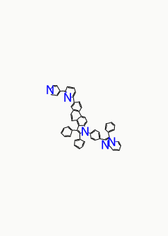 c1ccc(-c2c(-c3ccccc3)n(-c3ccc(-c4nc5ccccn5c4-c4ccccc4)cc3)c3ccc4c5ccc(-c6cccc(-c7ccncc7)n6)cc5ccc4c23)cc1